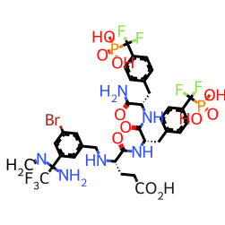 C=NC(N)(c1cc(Br)cc(CN[C@@H](CCC(=O)O)C(=O)N[C@@H](Cc2ccc(C(F)(F)P(=O)(O)O)cc2)C(=O)N[C@@H](Cc2ccc(C(F)(F)P(=O)(O)O)cc2)C(N)=O)c1)C(F)(F)F